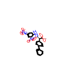 COC(=O)[C@H](CNc1ccc([N+](=O)[O-])cc1[N+](=O)[O-])c1ccc(-c2ccccc2)cc1